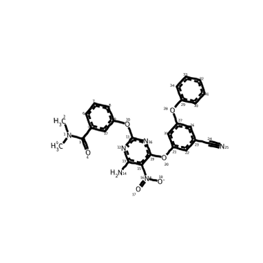 CN(C)C(=O)c1cccc(Oc2nc(N)c([N+](=O)[O-])c(Oc3cc(C#N)cc(Oc4ccccc4)c3)n2)c1